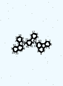 c1ccc2c(c1)-c1cccc3cc(-n4c5ccccc5c5cc(-n6c7ccccc7c7c8ccccc8ccc76)ccc54)cc-2c13